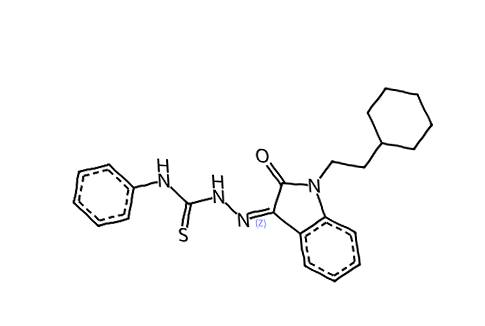 O=C1/C(=N\NC(=S)Nc2ccccc2)c2ccccc2N1CCC1CCCCC1